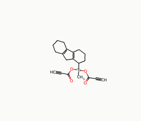 C#CC(=O)[O][Ti]([CH3])([O]C(=O)C#C)[CH]1CCCC2=C1CC1=C2CCCC1